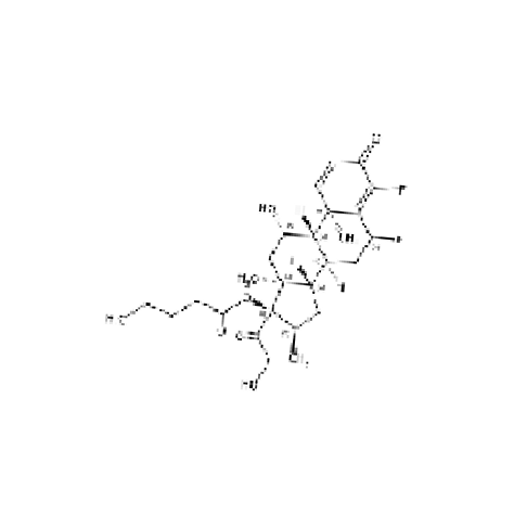 CCCCC(=O)O[C@]1(C(=O)CO)[C@H](C)C[C@H]2[C@@H]3C[C@H](F)C4=C(F)C(=O)C=C[C@]4(C)[C@H]3[C@@H](O)C[C@@]21C